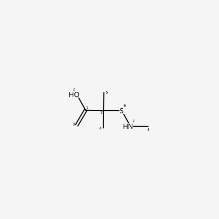 C=C(O)C(C)(C)SNC